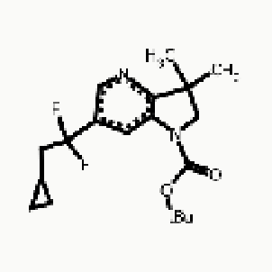 CC(C)(C)OC(=O)N1CC(C)(C)c2ncc(C(F)(F)CC3CC3)cc21